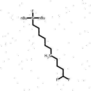 CCCC[Si](F)(CCCC)CCCCCC[SiH2]CCCC(F)F